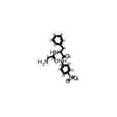 NCC(=O)NC(Cc1ccccc1)C(=O)Nc1ccc([N+](=O)[O-])cc1